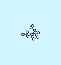 c1ccc(-c2ccc(-c3cccc4ccccc34)cc2N(c2ccc(-c3cccc4c3c3ccccc3n4-c3ccccc3)cc2)c2ccccc2-c2cccc3cccc(C4CCCCC4)c23)cc1